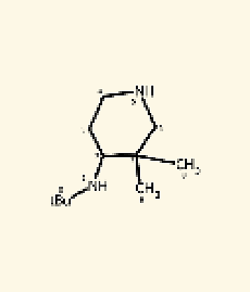 CC(C)(C)NC1CCNCC1(C)C